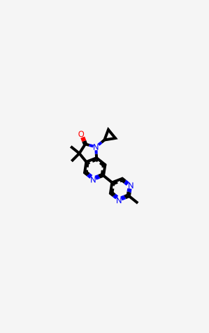 Cc1ncc(-c2cc3c(cn2)C(C)(C)C(=O)N3C2CC2)cn1